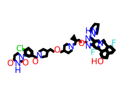 C#Cc1c(F)ccc2cc(O)cc(-c3ncc4c(N5CC6CCC(C5)N6)nc(OCC5(CN6CCC(COCCC7CCN(C(=O)c8ccc(Cl)c(N9CCC(=O)NC9=O)c8)CC7)CC6)CC5)nc4c3F)c12